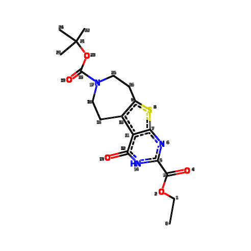 CCOC(=O)c1nc2sc3c(c2c(=O)[nH]1)CCN(C(=O)OC(C)(C)C)CC3